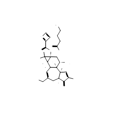 CCCCCCCCCCCCCC(=O)O[C@@H]1[C@@H](C)[C@@]2(O)[C@@H](C=C(CO)C[C@]3(O)C(=O)C(C)=C[C@@H]23)[C@H]2C(C)(C)[C@]12OC(=O)C1=NC=C1